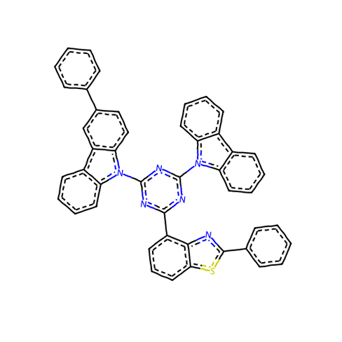 c1ccc(-c2ccc3c(c2)c2ccccc2n3-c2nc(-c3cccc4sc(-c5ccccc5)nc34)nc(-n3c4ccccc4c4ccccc43)n2)cc1